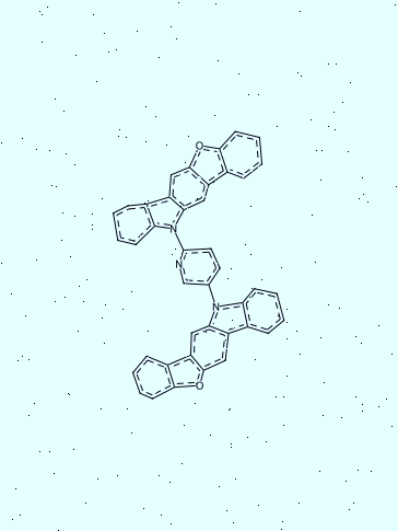 c1ccc2c(c1)oc1cc3c4ccccc4n(-c4ccc(-n5c6ccccc6c6cc7oc8ccccc8c7cc65)nc4)c3cc12